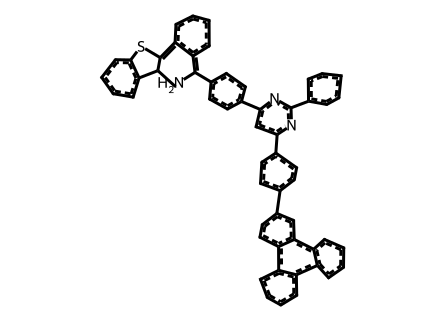 CC1/C(=c2/cccc/c2=C(/N)c2ccc(-c3cc(-c4ccc(-c5ccc6c7ccccc7c7ccccc7c6c5)cc4)nc(-c4ccccc4)n3)cc2)Sc2ccccc21